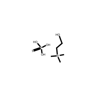 C[N+](C)(C)CCO.OP(O)(O)=S